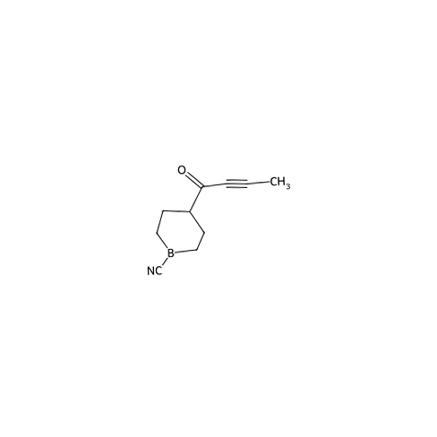 CC#CC(=O)C1CCB(C#N)CC1